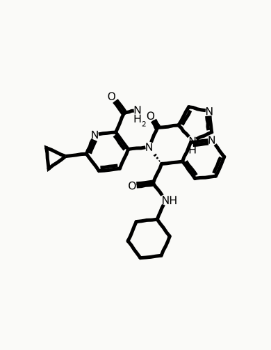 NC(=O)c1nc(C2CC2)ccc1N(C(=O)c1cnc[nH]1)[C@@H](C(=O)NC1CCCCC1)c1cccnc1